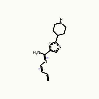 C=C/C=C\N=C(/N)c1cnc(C2CCNCC2)s1